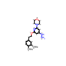 COc1ccc(CCOc2cc(NN)cc(N3CCOCC3)n2)cc1OC